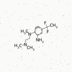 CN(C)CCN(C)c1c#cc(C(C)(F)F)cc1N